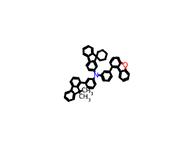 CC1(C)c2ccccc2-c2cccc(-c3cccc(N(c4cccc(-c5cccc6oc7ccccc7c56)c4)c4ccc5c(c4)C4(CCCCC4)c4ccccc4-5)c3)c21